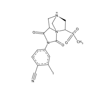 CS(=O)(=O)C1C[N@]2CC3C(=O)N(c4ccc(C#N)c(I)c4)C(=O)[N+]31C2